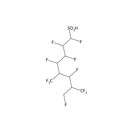 O=S(=O)(O)C(F)C(F)C(F)C(F)C(C(F)C(CF)C(F)(F)F)C(F)(F)F